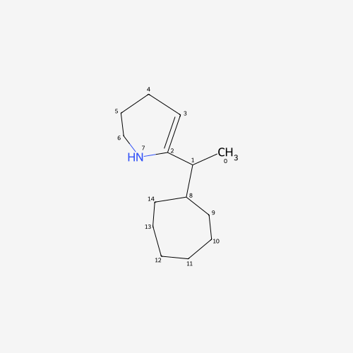 CC(C1=CCCCN1)C1CCCCCC1